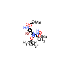 C=CCC(NC(=O)OC(C)(C)C)c1nc(-c2ccc(NC(=O)OCCOC)cc2Br)cn1COCC[Si](C)(C)C